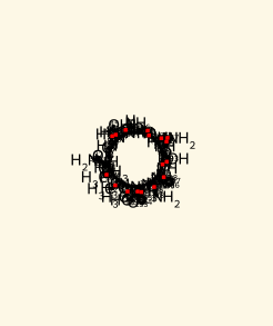 CCCC[C@H]1C(=O)N(C)[C@@H](CCCC)C(=O)N[C@@H](CC(C)C)C(=O)N[C@H](C(=O)NCC(N)=O)CSCC(=O)N[C@@H](Cc2ccc(O)cc2)C(=O)N(C)[C@@H](C)C(=O)N[C@@H](CC(N)=O)C(=O)N2CCC[C@H]2C(=O)N[C@@H](Cc2cnc[nH]2)C(=O)N[C@@H](CCCCN)C(=O)N2C[C@H](O)C[C@H]2C(=O)N[C@@H](Cc2c[nH]c3ccccc23)C(=O)N[C@@H](CCCCN)C(=O)N[C@@H](Cc2cn(CC(=O)O)c3ccccc23)C(=O)N1C